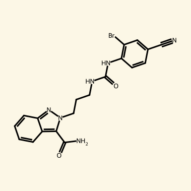 N#Cc1ccc(NC(=O)NCCCn2nc3ccccc3c2C(N)=O)c(Br)c1